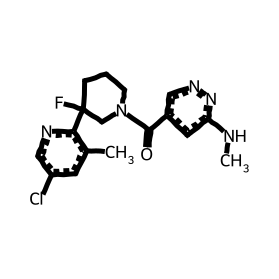 CNc1cc(C(=O)N2CCCC(F)(c3ncc(Cl)cc3C)C2)cnn1